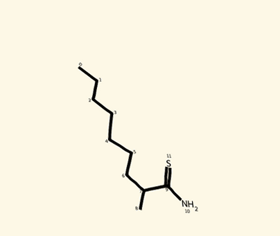 CCCCCCCC(C)C(N)=S